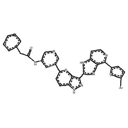 CC(=O)c1ccc(-c2nccc3[nH]c(-c4n[nH]c5ccc(-c6cncc(NC(=O)Cc7ccccc7)c6)nc45)nc23)s1